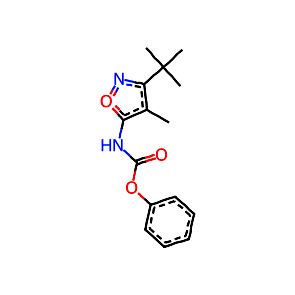 Cc1c(C(C)(C)C)noc1NC(=O)Oc1ccccc1